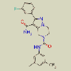 Cc1cc(NC(=O)N2CCn3nc(-c4cccc(F)c4)c(C(N)=O)c3C2)cc(C(F)(F)F)c1